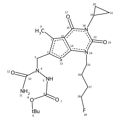 Cc1c(CN(NC(=O)OC(C)(C)C)C(N)=O)sc2c1c(=O)n(C1CC1)c(=O)n2CCCCF